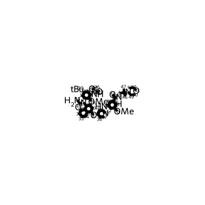 COc1cc(Nc2cc(Oc3ccc(N(C(N)=O)c4cc(C(C)(C)C)cc(NS(C)(=O)=O)c4OC)c4ccccc34)ccn2)cc(C(=O)NCC(C)(C)N2CCOCC2)c1